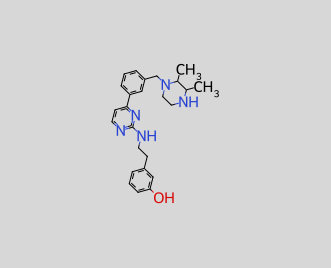 CC1NCCN(Cc2cccc(-c3ccnc(NCCc4cccc(O)c4)n3)c2)C1C